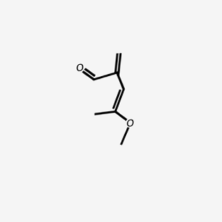 C=C(C=O)/C=C(\C)OC